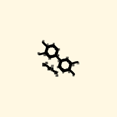 Cc1ccc(-c2ccc(C)c(C)c2)cc1C.[Br][Mg][Br]